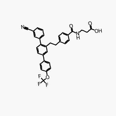 N#Cc1cccc(-c2ccc(-c3ccc(OC(F)(F)F)cc3)cc2CCc2ccc(C(=O)NCCC(=O)O)cc2)c1